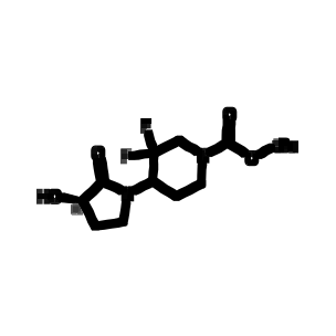 CC(C)(C)OC(=O)N1CCC(N2CC[C@@H](O)C2=O)C(F)(F)C1